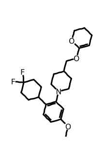 COc1ccc(C2CCC(F)(F)CC2)c(N2CCC(COC3=CCCCO3)CC2)c1